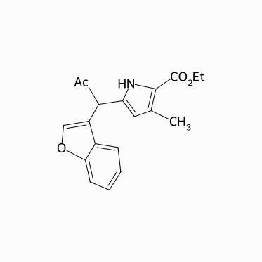 CCOC(=O)c1[nH]c(C(C(C)=O)c2coc3ccccc23)cc1C